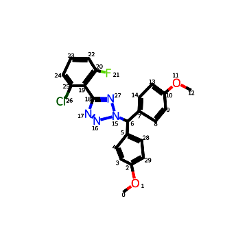 COc1ccc(C(c2ccc(OC)cc2)n2nnc(-c3c(F)cccc3Cl)n2)cc1